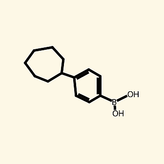 OB(O)c1ccc(C2CCCCCC2)cc1